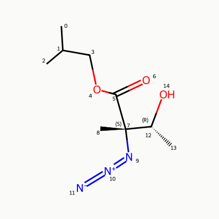 CC(C)COC(=O)[C@@](C)(N=[N+]=[N-])[C@@H](C)O